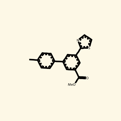 COC(=O)c1cc(-c2ccc(C)cc2)cc(-c2nccs2)c1